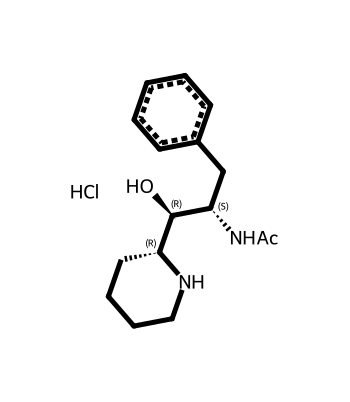 CC(=O)N[C@@H](Cc1ccccc1)[C@H](O)[C@H]1CCCCN1.Cl